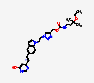 CCOC(C)(C)CCNC(=O)OCc1cn(CCn2ccc3cc(/C=C/c4cc(O)ncn4)ccc32)nn1